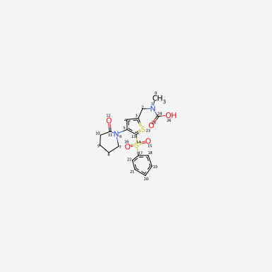 CN(Cc1cc(N2CCCCC2=O)c(S(=O)(=O)c2ccccc2)s1)C(=O)O